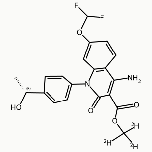 [2H]C([2H])([2H])OC(=O)c1c(N)c2ccc(OC(F)F)cc2n(-c2ccc([C@@H](C)O)cc2)c1=O